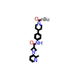 CCCCC(=O)N1CCC(c2ccc(NC(=O)C3CN(c4cccnc4C)C3)cc2)CC1